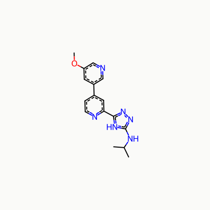 COc1cncc(-c2ccnc(-c3nnc(NC(C)C)[nH]3)c2)c1